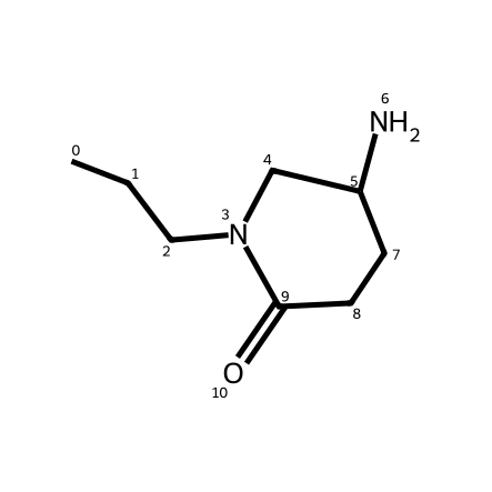 CCCN1CC(N)CCC1=O